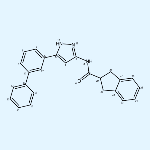 O=C(Nc1cc(-c2cccc(-c3ccccc3)c2)[nH]n1)C1Cc2ccccc2C1